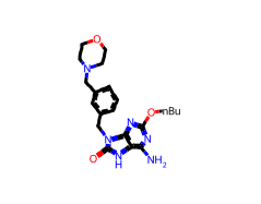 CCCCOc1nc(N)c2[nH]c(=O)n(Cc3cccc(CN4CCOCC4)c3)c2n1